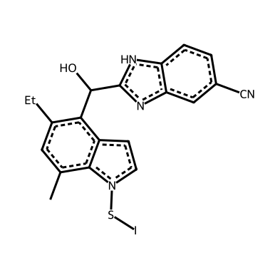 CCc1cc(C)c2c(ccn2SI)c1C(O)c1nc2cc(C#N)ccc2[nH]1